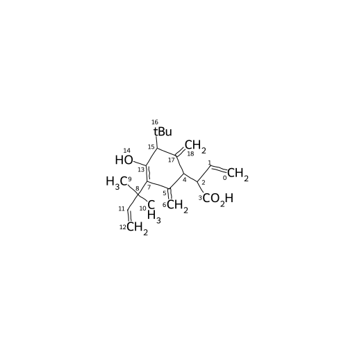 C=CC(C(=O)O)C1C(=C)C(C(C)(C)C=C)=C(O)C(C(C)(C)C)C1=C